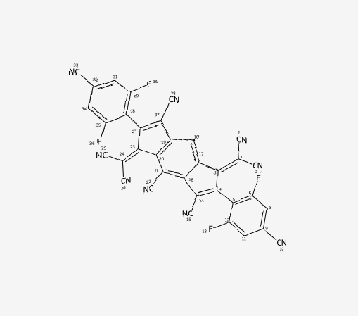 N#CC(C#N)=C1C(c2c(F)cc(C#N)cc2F)=C(C#N)c2c1cc1c(c2C#N)C(=C(C#N)C#N)C(c2c(F)cc(C#N)cc2F)=C1C#N